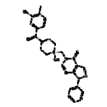 Cc1ccc(C(=O)N2CCC(O)(Cn3cnc4c(cnn4-c4ccccc4)c3=O)CC2)cc1Cl